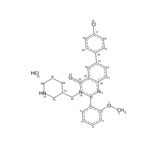 COc1ccccc1-c1nc2ccc(-c3ccc(Cl)cc3)cc2c(=O)n1CC1CCCNC1.Cl